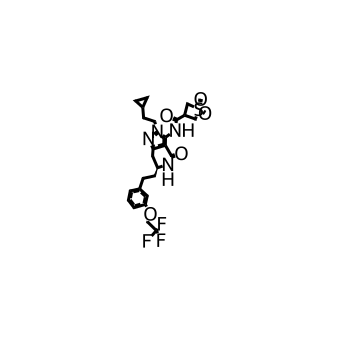 O=C1N[C@@H](CCc2cccc(OCC(F)(F)F)c2)Cc2nn(CCC3CC3)c(NC(=O)C3CS(=O)(=O)C3)c21